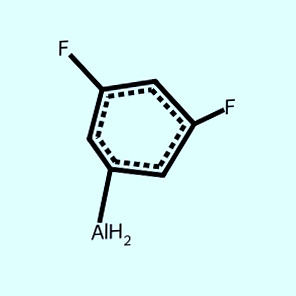 Fc1cc(F)c[c]([AlH2])c1